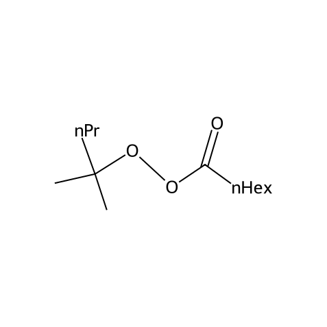 CCCCCCC(=O)OOC(C)(C)CCC